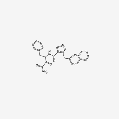 NC(=O)C(=O)C(Cc1ccccc1)NC(=O)c1cncn1Cc1ccc2ccccc2c1